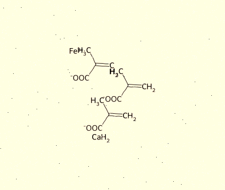 C=C(C)C(=O)[O-].C=C(C)C(=O)[O-].C=C(C)C(=O)[O-].[CaH2].[Fe+3]